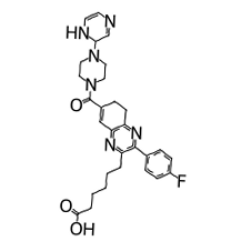 O=C(O)CCCCCc1nc2c(nc1-c1ccc(F)cc1)CCC(C(=O)N1CCN(C3C=NC=CN3)CC1)=C2